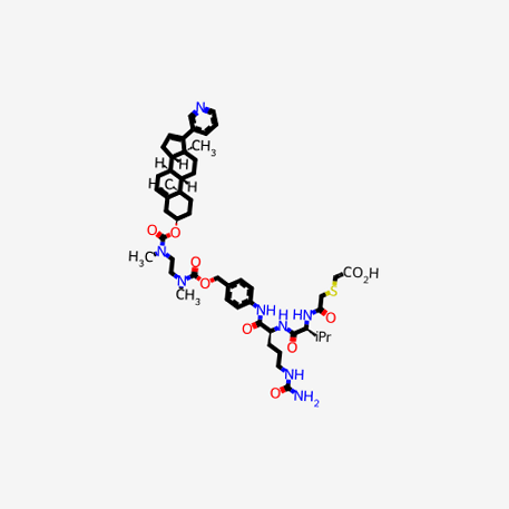 CC(C)[C@H](NC(=O)CSCC(=O)O)C(=O)N[C@@H](CCCNC(N)=O)C(=O)Nc1ccc(COC(=O)N(C)CCN(C)C(=O)O[C@H]2CC[C@@]3(C)C(=CC[C@@H]4[C@@H]3CC[C@]3(C)C(c5cccnc5)=CC[C@@H]43)C2)cc1